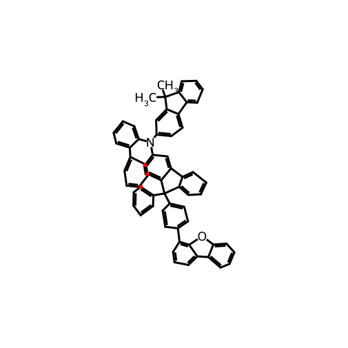 CC1(C)c2ccccc2-c2ccc(N(c3ccc4c(c3)-c3ccccc3C4(c3ccccc3)c3ccc(-c4cccc5c4oc4ccccc45)cc3)c3ccccc3-c3ccccc3)cc21